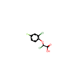 O=C(O)C(Cl)Oc1ccc(F)cc1Cl